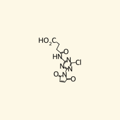 O=C(O)CCC(=O)Nc1nc(Cl)nc(N2C(=O)C=CC2=O)n1